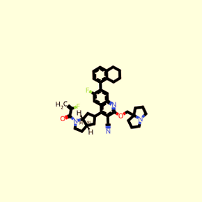 C=C(F)C(=O)N1CC[C@H]2CC(c3c(C#N)c(OCC45CCCN4CCC5)nc4cc(-c5cccc6c5CCCC6)c(F)cc34)C[C@H]21